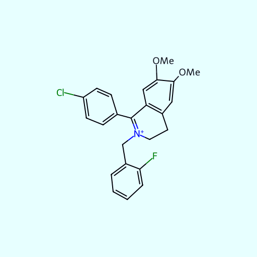 COc1cc2c(cc1OC)C(c1ccc(Cl)cc1)=[N+](Cc1ccccc1F)CC2